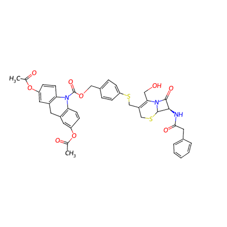 CC(=O)Oc1ccc2c(c1)Cc1cc(OC(C)=O)ccc1N2C(=O)OCc1ccc(SCC2=C(CO)N3C(=O)[C@@H](NC(=O)Cc4ccccc4)C3SC2)cc1